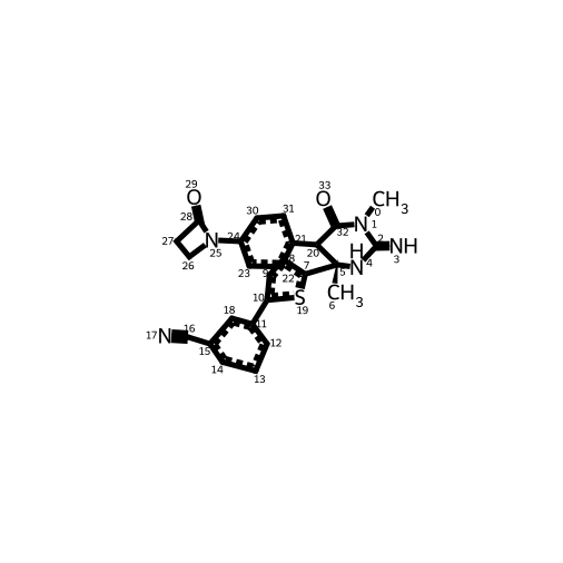 CN1C(=N)N[C@](C)(c2ccc(-c3cccc(C#N)c3)s2)C(c2ccc(N3CCC3=O)cc2)C1=O